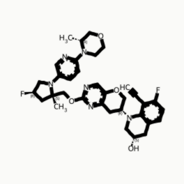 C#Cc1c(F)ccc2c1N([C@H]1COc3cnc(OC[C@]4(C)C[C@@H](F)CN4c4ccc(N5CCOC[C@H]5C)nc4)nc3C1)C[C@@H](O)C2